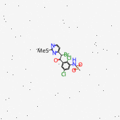 CSc1nccc(C(Br)C(=O)c2cc(Cl)cc(NS(C)(=O)=O)c2Cl)n1